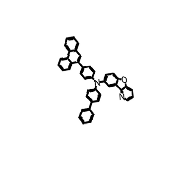 c1ccc(-c2ccc(N(c3ccc(-c4cc5ccccc5c5ccccc45)cc3)c3ccc4oc5cccnc5c4c3)cc2)cc1